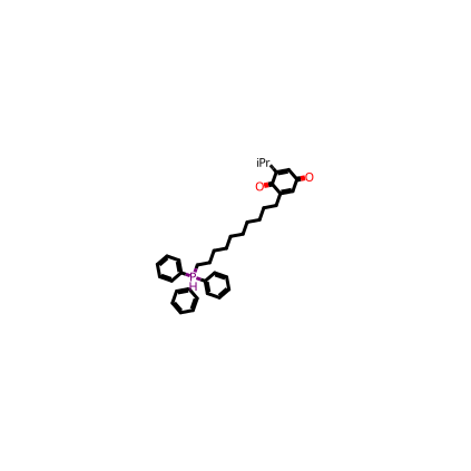 CC(C)C1=CC(=O)C=C(CCCCCCCCCC[PH](c2ccccc2)(c2ccccc2)c2ccccc2)C1=O